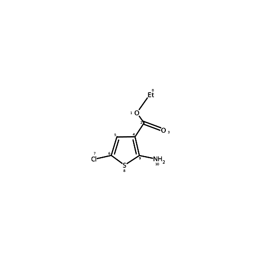 CCOC(=O)c1cc(Cl)sc1N